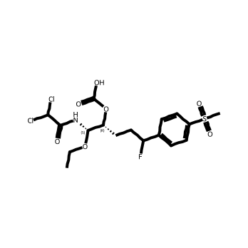 CCO[C@H](NC(=O)C(Cl)Cl)[C@@H](CCC(F)c1ccc(S(C)(=O)=O)cc1)OC(=O)O